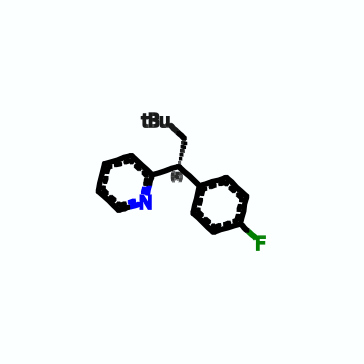 CC(C)(C)C[C@H](c1ccc(F)cc1)c1ccccn1